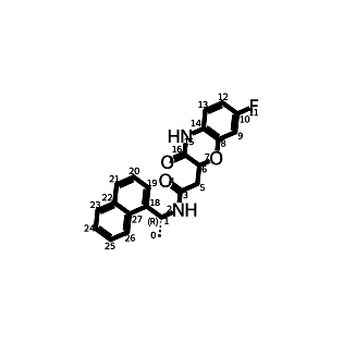 C[C@@H](NC(=O)CC1Oc2cc(F)ccc2NC1=O)c1cccc2ccccc12